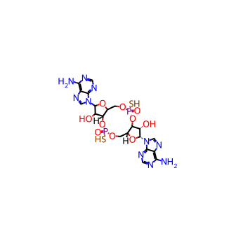 Nc1ncnc2c1ncn2C1OC2CO[P@](=O)(S)OC3[C@@H](CO[P@](=O)(S)O[C@@H]2C1O)O[C@@H](n1cnc2c(N)ncnc21)[C@H]3O